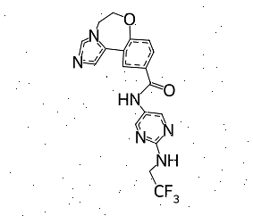 O=C(Nc1cnc(NCC(F)(F)F)nc1)c1ccc2c(c1)-c1cncn1CCO2